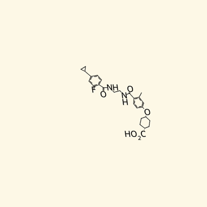 Cc1cc(O[C@H]2CC[C@@H](C(=O)O)CC2)ccc1C(=O)NCCNC(=O)c1ccc(C2CC2)cc1F